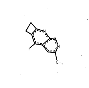 Cc1cc2c(I)c3c(nc2cn1)CC3